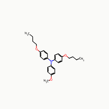 CCCCOc1ccc(N(c2ccc(OC)cc2)c2ccc(OCCCC)cc2)cc1